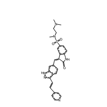 CN(C)CCN(C)S(=O)(=O)c1ccc2c(c1)/C(=C/c1ccc3c(/C=C/c4ccncc4)n[nH]c3c1)C(=O)N2